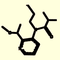 [CH2]CCN(C(=O)C(C)C)c1cccnc1C(C)OC